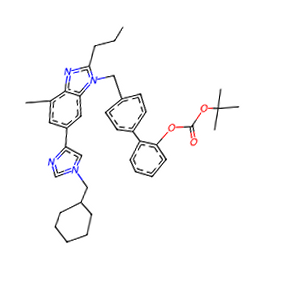 CCCc1nc2c(C)cc(-c3cn(CC4CCCCC4)cn3)cc2n1Cc1ccc(-c2ccccc2OC(=O)OC(C)(C)C)cc1